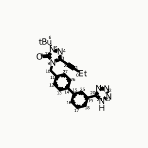 CCC#Cc1nn(C(C)(C)C)c(=O)n1Cc1ccc(-c2cccc(-c3nnn[nH]3)c2)cc1